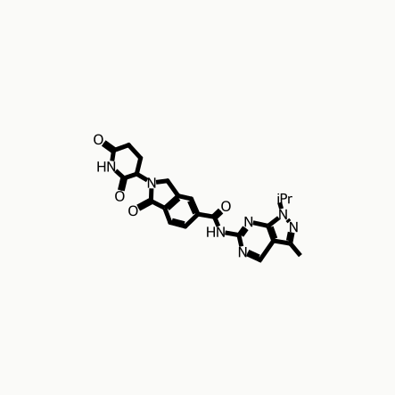 Cc1nn(C(C)C)c2nc(NC(=O)c3ccc4c(c3)CN(C3CCC(=O)NC3=O)C4=O)ncc12